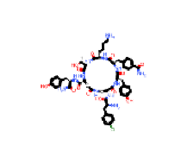 C[C@@H](O)[C@@H]1NC(=O)[C@H](CCCCN)NC(=O)[C@@H](Cc2ccc(C(N)=O)cc2)NC(=O)[C@H](Cc2ccc(O)cc2)NC(=O)[C@H](NC(O)[C@@H](N)Cc2ccc(Cl)cc2)CNC(=O)C[C@@H](C(=O)N[C@H](Cc2ccc(O)cc2)C(N)=O)NC1=O